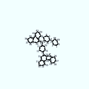 c1ccc(-c2cccc(N(c3ccc(-c4cc5ccccc5c5c4sc4ccccc45)cc3)c3cc4ccccc4c4ccccc34)c2)cc1